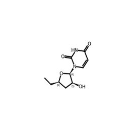 CC[C@@H]1C[C@H](O)[C@H](n2ccc(=O)[nH]c2=O)O1